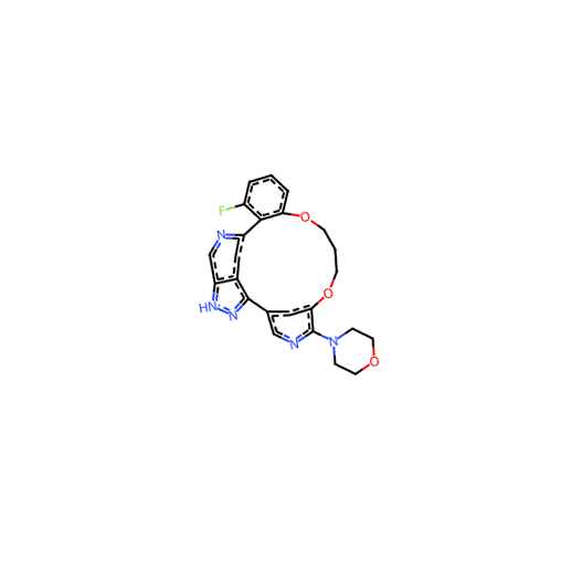 Fc1cccc2c1-c1cc3c(n[nH]c3cn1)-c1cnc(N3CCOCC3)c(c1)OCCCO2